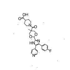 CC1(C(=O)N2CCC(C(=O)O)CC2)COC(c2nc(-c3ccc(F)cc3)c(-c3ccncc3)[nH]2)OC1